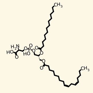 CCCC/C=C\C/C=C\CCCCCCCC(=O)OC[C@H](COP(=O)(O)OC[C@H](N)C(=O)O)OC(=O)CCCCCCCCCCCCC